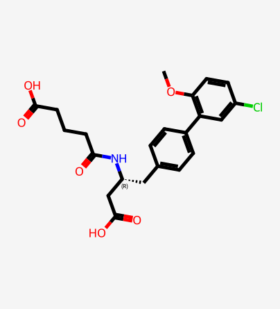 COc1ccc(Cl)cc1-c1ccc(C[C@H](CC(=O)O)NC(=O)CCCC(=O)O)cc1